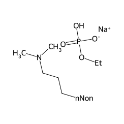 CCCCCCCCCCCCN(C)C.CCOP(=O)([O-])O.[Na+]